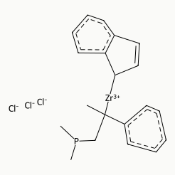 CP(C)C[C](C)([Zr+3][CH]1C=Cc2ccccc21)c1ccccc1.[Cl-].[Cl-].[Cl-]